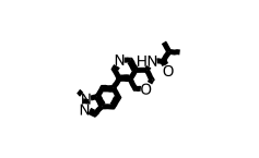 CC(C)C(=O)NC1COCc2c(-c3ccc4cnn(C)c4c3)cncc21